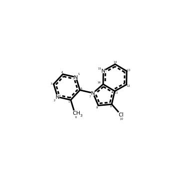 Cc1nccnc1-n1cc(Cl)c2c[c]cnc21